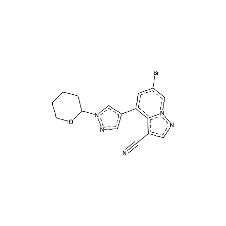 N#Cc1cnn2cc(Br)cc(-c3cnn(C4CCCCO4)c3)c12